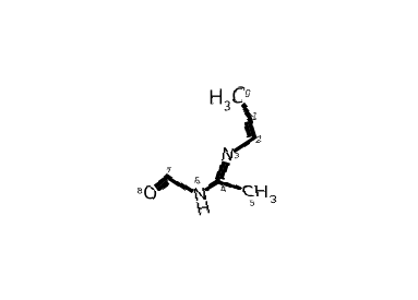 C/C=C\N=C(/C)NC=O